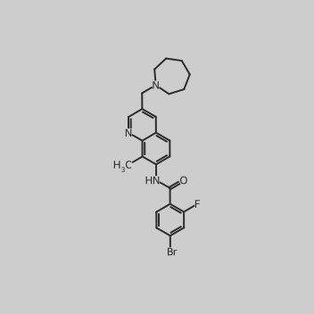 Cc1c(NC(=O)c2ccc(Br)cc2F)ccc2cc(CN3CCCCCC3)cnc12